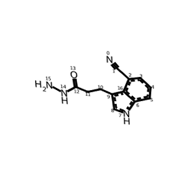 N#Cc1cccc2[nH]cc(CCC(=O)NN)c12